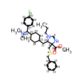 CCCN1C=NC(CSCc2ccccc2)(C(=O)OC)C1CC1CCC(C(c2ccc(F)cc2)N(C)C)CC1